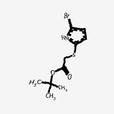 CC(C)(C)OC(=O)CSc1ccc(Br)[nH]1